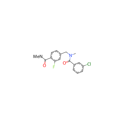 CNC(=O)c1ccc(CN(C)C(=O)c2cccc(Cl)c2)cc1F